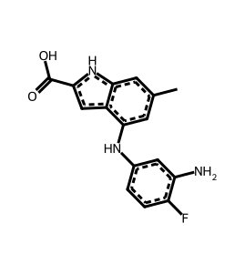 Cc1cc(Nc2ccc(F)c(N)c2)c2cc(C(=O)O)[nH]c2c1